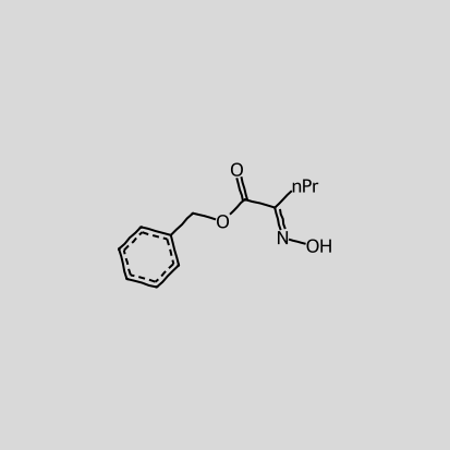 CCCC(=NO)C(=O)OCc1ccccc1